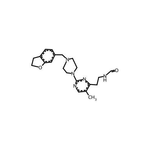 Cc1cnc(N2CCN(Cc3ccc4c(c3)OCC4)CC2)nc1CCNC=O